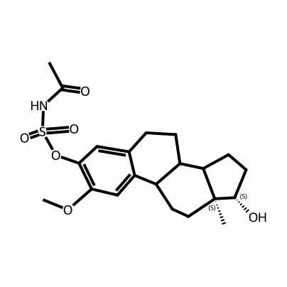 COc1cc2c(cc1OS(=O)(=O)NC(C)=O)CCC1C2CC[C@@]2(C)C1CC[C@@H]2O